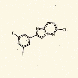 Fc1cc(F)cc(-c2cn3nc(Cl)ccc3n2)c1